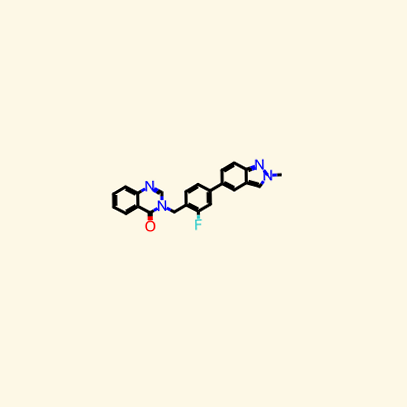 Cn1cc2cc(-c3ccc(Cn4cnc5ccccc5c4=O)c(F)c3)ccc2n1